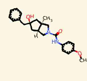 COc1ccc(NC(=O)N2C[C@H]3C[C@](O)(Cc4ccccc4)C[C@@]3(C)C2)cc1